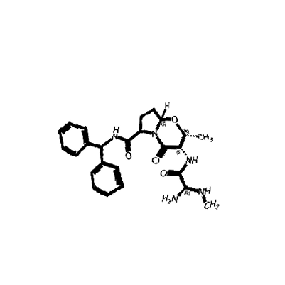 CN[C@@H](N)C(=O)N[C@@H]1C(=O)N2C(C(=O)NC(c3ccccc3)c3ccccc3)CC[C@@H]2O[C@@H]1C